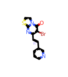 O=c1c(Br)c(/C=C/c2cccnc2)nc2sccn12